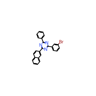 Brc1cccc(-c2nc(-c3ccccc3)nc(-c3ccc4ccccc4c3)n2)c1